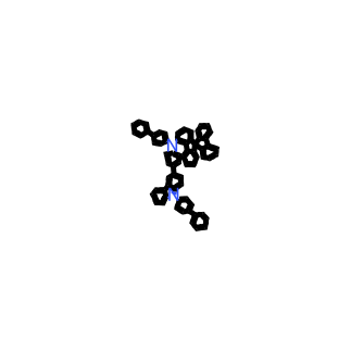 c1ccc(-c2ccc(N(c3ccc(-c4ccc5c(c4)c4ccccc4n5-c4ccc(-c5ccccc5)cc4)cc3)c3cccc4c3-c3ccccc3C43c4ccccc4-c4ccccc43)cc2)cc1